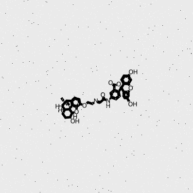 CN1CC[C@]23c4c5ccc(OCCN=CC(=O)Nc6ccc7c(c6)C(=O)OC76c7ccc(O)cc7Oc7cc(O)ccc76)c4O[C@H]2[C@@H](O)CC[C@H]3[C@H]1C5